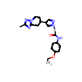 Cc1nc2cc(-c3cnn(CC(=O)Nc4ccc(OCC(F)(F)F)cc4)c3)ccn2n1